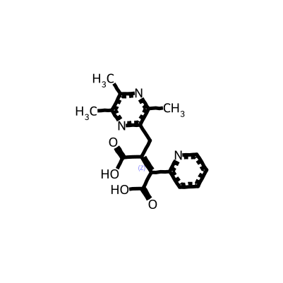 Cc1nc(C)c(C/C(C(=O)O)=C(/C(=O)O)c2ccccn2)nc1C